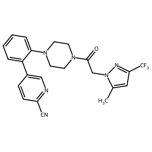 Cc1cc(C(F)(F)F)nn1CC(=O)N1CCN(c2ccccc2-c2ccc(C#N)nc2)CC1